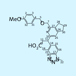 COc1ccc(COCc2cc(C(CC(=O)O)c3ccc4c(nnn4C)c3C)cc3c2CCC3)cc1